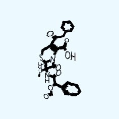 COC1(NC(=O)C(OC=O)c2ccccc2)C(=O)N2C(C(=O)O)=C(C(=O)Cc3ccccc3)CS[C@@H]21